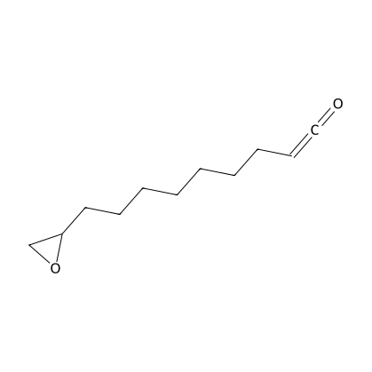 O=C=CCCCCCCCC1CO1